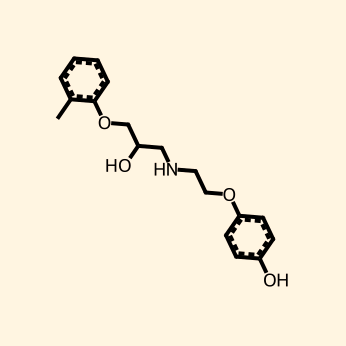 Cc1ccccc1OCC(O)CNCCOc1ccc(O)cc1